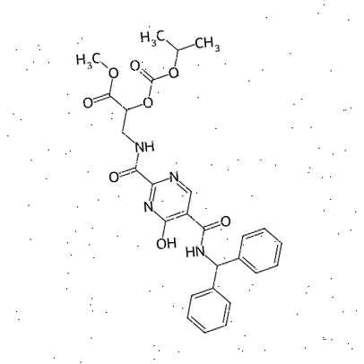 COC(=O)C(CNC(=O)c1ncc(C(=O)NC(c2ccccc2)c2ccccc2)c(O)n1)OC(=O)OC(C)C